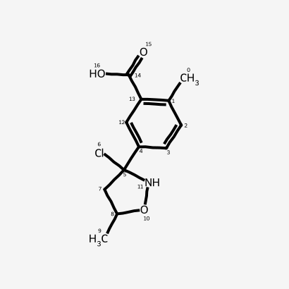 Cc1ccc(C2(Cl)CC(C)ON2)cc1C(=O)O